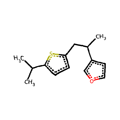 CC(C)c1ccc(CC(C)c2ccoc2)s1